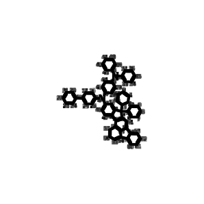 C1=CCC(C2(c3ccccc3)c3cc(N(c4ccc(-c5ccccc5)cc4)c4ccc(N(c5ccccc5)c5ccccc5)cc4)ccc3-c3c2cc2c4c(cccc34)-c3ccccc3-2)C=C1